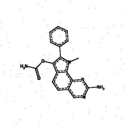 Cn1c(-c2ccccc2)c(OC(N)=O)c2ccc3cnc(N)nc3c21